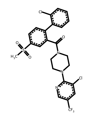 CS(=O)(=O)c1ccc(-c2ccccc2Cl)c(C(=O)N2CCN(c3ncc(C(F)(F)F)cc3Cl)CC2)c1